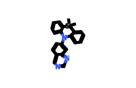 C[Si]1(C)c2ccccc2N(c2ccc3cncnc3c2)c2ccccc21